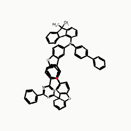 CC1(C)c2ccccc2-c2c(N(c3ccc(-c4ccccc4)cc3)c3ccc4oc5ccc(-c6ccc7c(c6)C6(c8nc(-c9ccccc9)nc(-c9ccccc9)n8)CC=CC=C6O7)cc5c4c3)cccc21